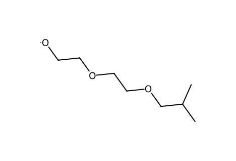 CC(C)COCCOCC[O]